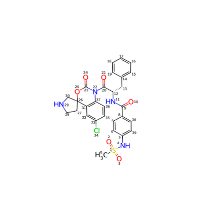 CS(=O)(=O)Nc1ccc(C(=O)N[C@@H](Cc2ccccc2)C(=O)N2C(=O)OC3(CCNC3)c3cc(Cl)ccc32)cc1